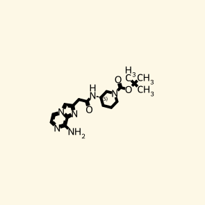 CC(C)(C)OC(=O)N1CCC[C@H](NC(=O)Cc2cn3ccnc(N)c3n2)C1